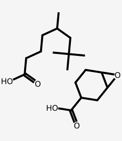 CC(CCCC(=O)O)CC(C)(C)C.O=C(O)C1CCC2OC2C1